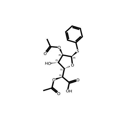 CC(=O)O[C@@H]1[C@@H](O)[C@@H]([C@H](OC(C)=O)C(=O)O)O[C@@H]1Sc1ccccc1